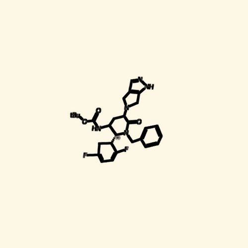 CC(C)(C)OC(=O)NC1CC(N2Cc3cn[nH]c3C2)C(=O)N(Cc2ccccc2)[C@@H]1C1CC(F)=CC=C1F